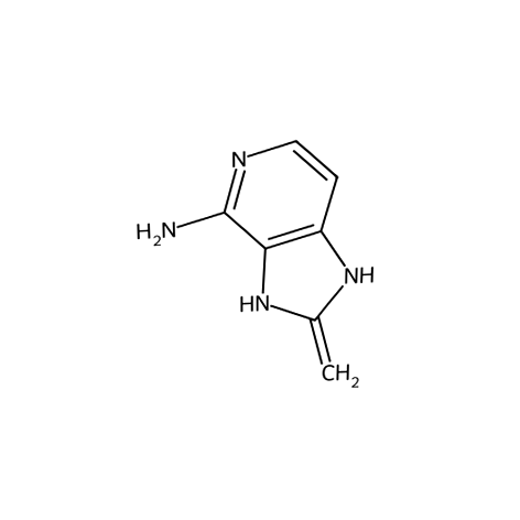 C=C1Nc2ccnc(N)c2N1